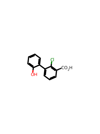 O=C(O)c1cccc(-c2ccccc2O)c1Cl